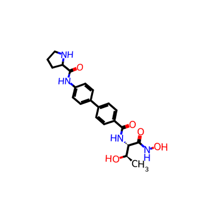 C[C@@H](O)[C@H](NC(=O)c1ccc(-c2ccc(NC(=O)C3CCCN3)cc2)cc1)C(=O)NO